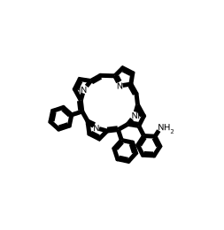 Nc1ccccc1-c1cc2cc3nc(cc4ccc([nH]4)c(-c4ccccc4)c4nc(c(-c5ccccc5)c1[nH]2)C=C4)C=C3